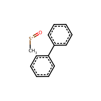 C[S+]=O.c1ccc(-c2ccccc2)cc1